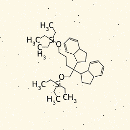 CC[Si](CC)(CC)OCCCC(CO[Si](CC)(CC)CC)(C1CCC2C=CC=CC21)C1CCC2C=CC=CC21